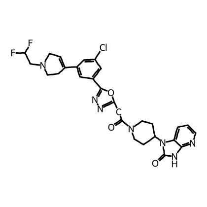 O=C(Cc1nnc(-c2cc(Cl)cc(C3=CCN(CC(F)F)CC3)c2)o1)N1CCC(n2c(=O)[nH]c3ncccc32)CC1